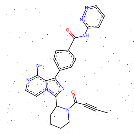 CC#CC(=O)N1CCCCC1c1nc(-c2ccc(C(=O)Nc3cccnn3)cc2)c2c(N)nccn12